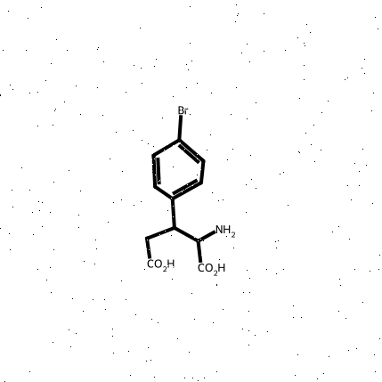 NC(C(=O)O)C(CC(=O)O)c1ccc(Br)cc1